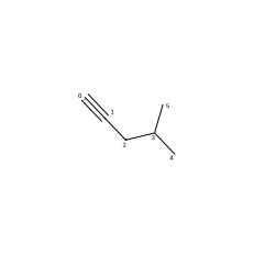 [C]#CCC(C)C